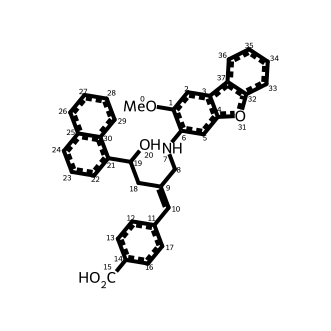 COc1cc2c(cc1NCC(=Cc1ccc(C(=O)O)cc1)CC(O)c1cccc3ccccc13)oc1ccccc12